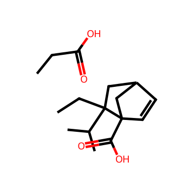 CCC(=O)O.CCC1(C(C)C)CC2C=CC1(C(=O)O)C2